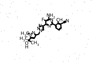 Cc1c(C#N)cccc1-c1nc(N)c(F)c(-c2cn(Cc3cc(C(C)(C)O)n(C)n3)nn2)n1